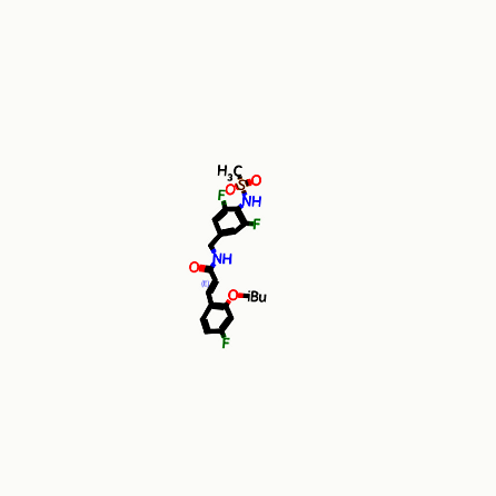 CCC(C)Oc1cc(F)ccc1/C=C/C(=O)NCc1cc(F)c(NS(C)(=O)=O)c(F)c1